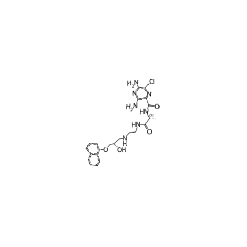 C[C@@H](NC(=O)c1nc(Cl)c(N)nc1N)C(=O)NCCNCC(O)COc1cccc2ccccc12